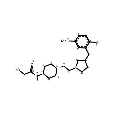 COc1ccc(Br)c(CC2CCN(CC[C@H]3CC[C@H](NC(=O)CO)CC3)C2)c1